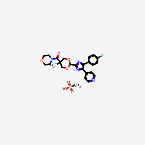 CC1(C(=O)N2CCOCC2)COC(c2nc(-c3ccc(F)cc3)c(-c3ccncc3)[nH]2)OC1.CS(=O)(=O)O